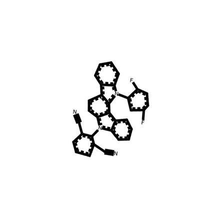 N#Cc1cccc(C#N)c1-n1c2ccccc2c2c1ccc1c3ccccc3n(-c3cc(F)ccc3F)c12